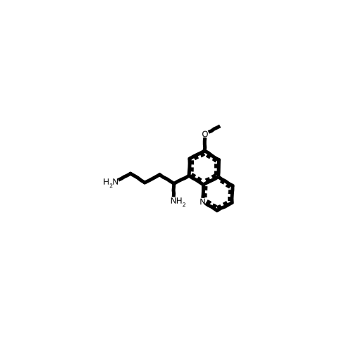 COc1cc(C(N)CCCN)c2ncccc2c1